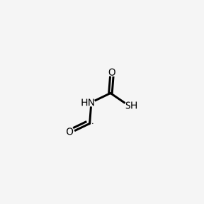 O=[C]NC(=O)S